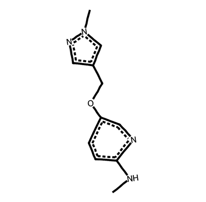 CNc1ccc(OCc2cnn(C)c2)cn1